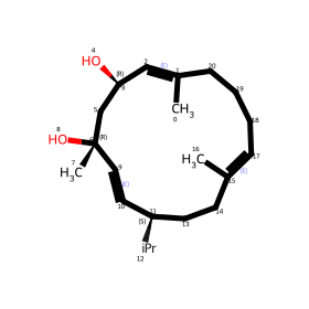 C/C1=C\[C@H](O)C[C@@](C)(O)/C=C/[C@H](C(C)C)CC/C(C)=C/CCC1